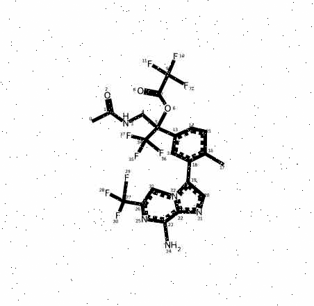 CC(=O)NCC(OC(=O)C(F)(F)F)(c1ccc(C)c(-c2cnc3c(N)nc(C(F)(F)F)cn23)c1)C(F)(F)F